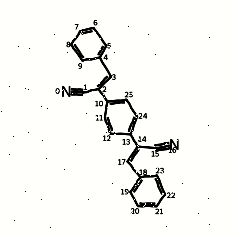 N#CC(=Cc1ccccc1)c1ccc(C(C#N)=Cc2ccccc2)cc1